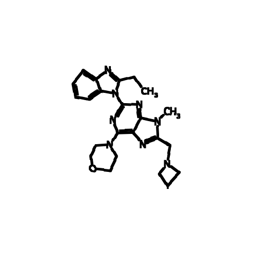 CCc1nc2ccccc2n1-c1nc(N2CCOCC2)c2nc(CN3C[CH]C3)n(C)c2n1